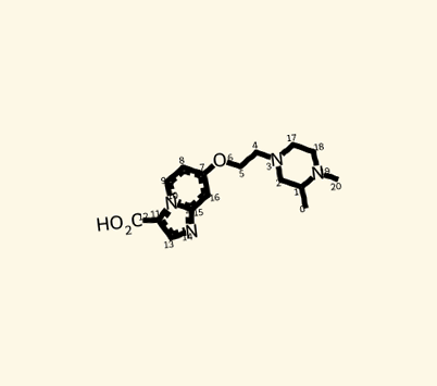 CC1CN(CCOc2ccn3c(C(=O)O)cnc3c2)CCN1C